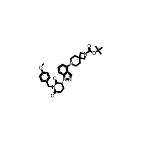 COc1ccc(CN2C(=O)CC[C@@H](n3ncc4c(N5CCC6(CC5)CN(C(=O)OC(C)(C)C)C6)cccc43)C2=O)cc1